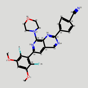 COc1cc(OC)c(F)c(-c2cc3cnc(-c4ccc(C#N)cc4)nc3c(N3CCOCC3)n2)c1F